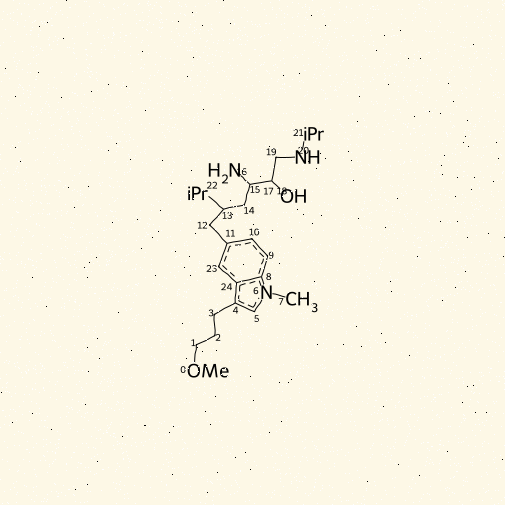 COCCCc1cn(C)c2ccc(CC(CC(N)C(O)CNC(C)C)C(C)C)cc12